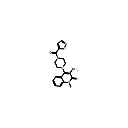 Cn1c(=O)c([N+](=O)[O-])c(N2CCN(C(=O)c3ccno3)CC2)c2ccccc21